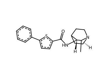 C[C@H]1[C@H](NC(=O)c2ccc(-c3ccccc3)s2)C2CCN1CC2